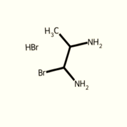 Br.CC(N)C(N)Br